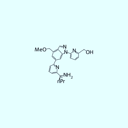 CCC[C@H](N)c1cccc(-c2cc(COC)c3cnn(-c4cccc(CO)n4)c3c2)n1